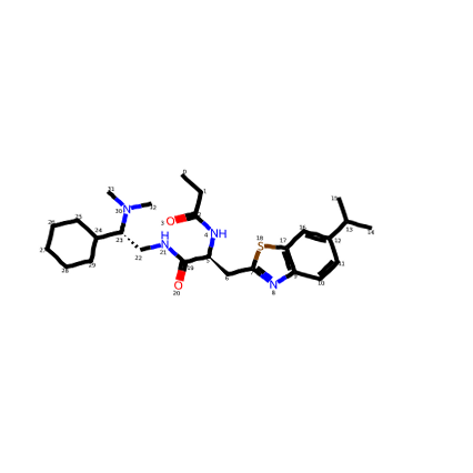 CCC(=O)N[C@@H](Cc1nc2ccc(C(C)C)cc2s1)C(=O)NC[C@H](C1CCCCC1)N(C)C